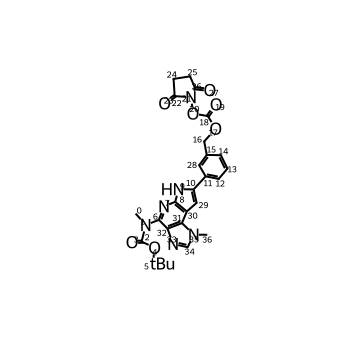 CN(C(=O)OC(C)(C)C)c1nc2[nH]c(-c3cccc(COC(=O)ON4C(=O)CCC4=O)c3)cc2c2c1ncn2C